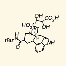 CC(C)N1CC(C(=O)NC(C)(C)C)CC2c3cccc4[nH]cc(c34)C[C@H]21.O=C(O)C(O)C(O)C(=O)O